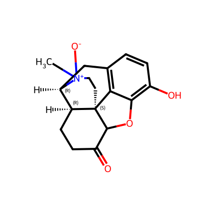 C[N+]1([O-])CC[C@]23c4c5ccc(O)c4OC2C(=O)CC[C@H]3[C@H]1C5